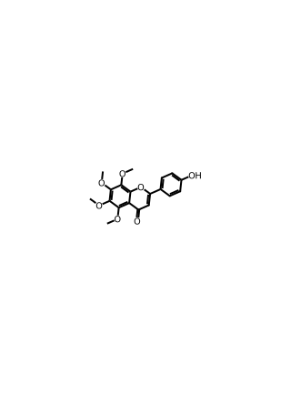 COc1c(OC)c(OC)c2c(=O)cc(-c3ccc(O)cc3)oc2c1OC